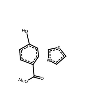 COC(=O)c1ccc(O)cc1.c1cscn1